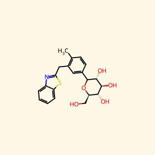 Cc1ccc(C2O[C@H](CO)[C@@H](O)[C@H](O)[C@H]2O)cc1Cc1nc2ccccc2s1